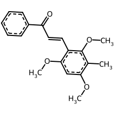 COc1cc(OC)c(/C=C/C(=O)c2ccccc2)c(OC)c1C